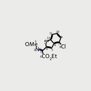 CCOC(=O)/C(=N/OC)c1cc2c(Cl)cccc2s1